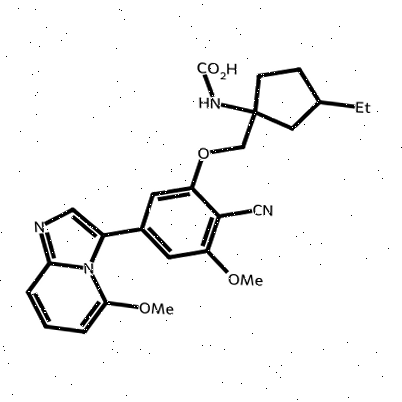 CCC1CCC(COc2cc(-c3cnc4cccc(OC)n34)cc(OC)c2C#N)(NC(=O)O)C1